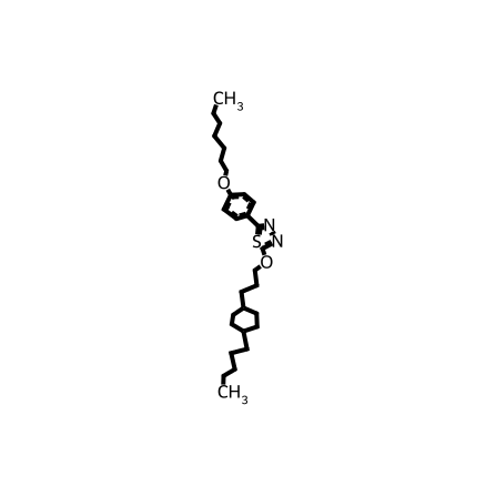 CCCCCCCOc1ccc(-c2nnc(OCCCC3CCC(CCCCC)CC3)s2)cc1